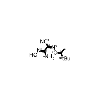 CC(ON=C(C#N)C(N)=NO)C(C)(C)C